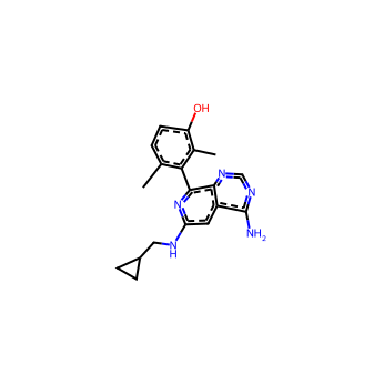 Cc1ccc(O)c(C)c1-c1nc(NCC2CC2)cc2c(N)ncnc12